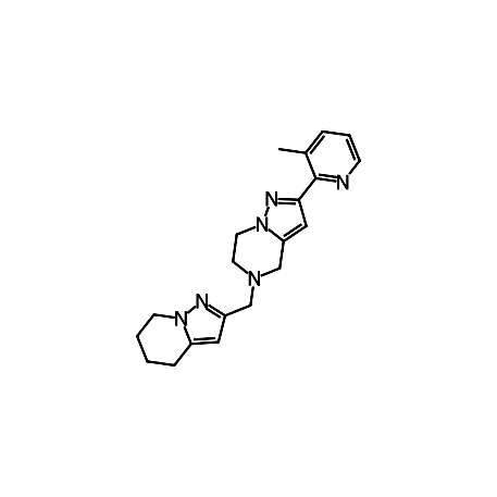 Cc1cccnc1-c1cc2n(n1)CCN(Cc1cc3n(n1)CCCC3)C2